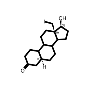 O=C1CCC2C3CC[C@@]4(CI)C(CC[C@@H]4O)C3CC[C@H]2C1